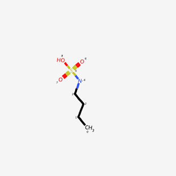 CCCC[N]S(=O)(=O)O